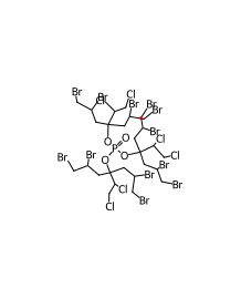 O=P(OC(CC(Br)CBr)(CC(Br)CBr)C(Cl)CCl)(OC(CC(Br)CBr)(CC(Br)CBr)C(Cl)CCl)OC(CC(Br)CBr)(CC(Br)CBr)C(Cl)CCl